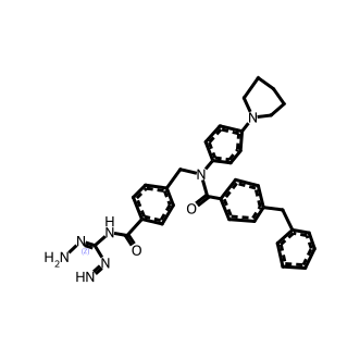 N=N/C(=N\N)NC(=O)c1ccc(CN(C(=O)c2ccc(Cc3ccccc3)cc2)c2ccc(N3CCCCC3)cc2)cc1